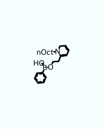 CCCCCCCCN1CC=CC=C1CCOB(O)c1ccccc1